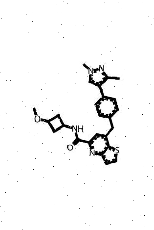 COC1CC(NC(=O)c2cc(Cc3ccc(-c4cn(C)nc4C)cc3)c3sccc3n2)C1